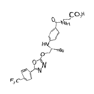 CCCC[C@@H](COc1nnc(-c2ccc(C(F)(F)F)cc2)o1)Nc1ccc(C(=O)NCCC(=O)O)cc1